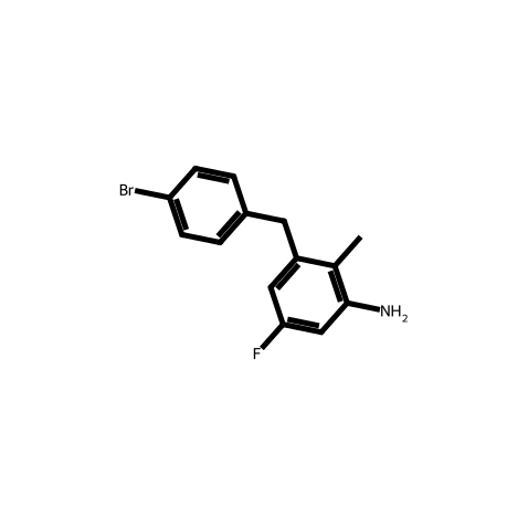 Cc1c(N)cc(F)cc1Cc1ccc(Br)cc1